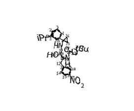 CC(C)c1cccc(C2(NC[C@@H](O)[C@H](Cc3ccc([N+](=O)[O-])cc3)NC(=O)OC(C)(C)C)CC2)c1